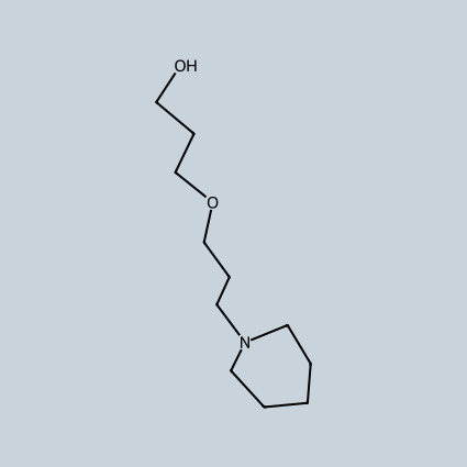 OCCCOCCCN1CCCCC1